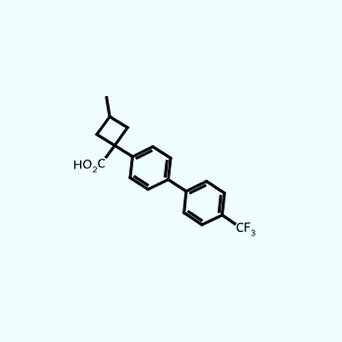 CC1CC(C(=O)O)(c2ccc(-c3ccc(C(F)(F)F)cc3)cc2)C1